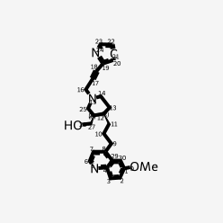 COc1ccc2nccc(CCC[C@@H]3CCN(CC#Cc4ccccn4)C[C@@H]3CO)c2c1